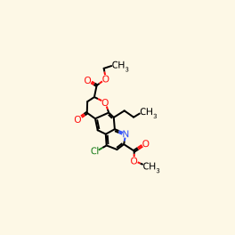 CCCc1c2c(cc3c(Cl)cc(C(=O)OC)nc13)C(=O)CC(C(=O)OCC)O2